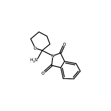 O=C1c2ccccc2C(=O)N1C1([SiH3])CCCCO1